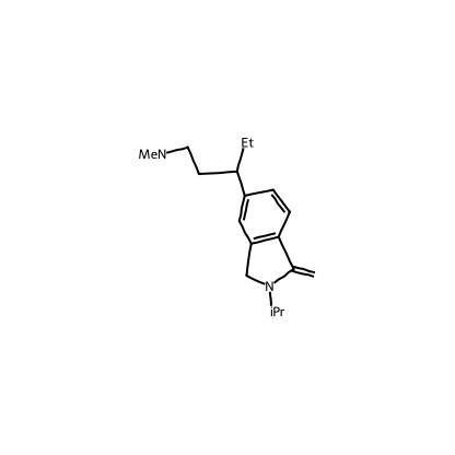 C=C1c2ccc(C(CC)CCNC)cc2CN1C(C)C